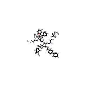 CCCCC[C@H](/C=C/[C@@H]1[C@@H](C/C=C\CCCC(=O)OC)[C@@H](OCc2ccc(-c3ccccc3)cc2)C[C@H]1OS(=O)(=O)c1ccc(C)cc1)O[Si](c1ccccc1)(c1ccccc1)C(C)(C)C